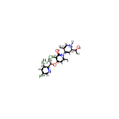 BC(Oc1cc(C)n(C2=CC(C(C)=O)N(C)C=C2C)c(=O)c1Cl)c1ncc(F)cc1F